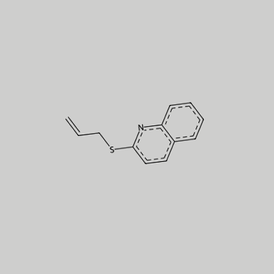 C=CCSc1ccc2ccccc2n1